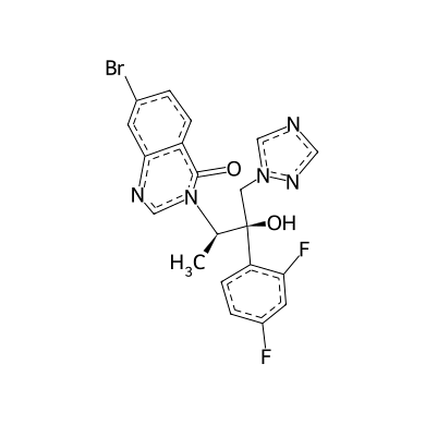 C[C@@H](n1cnc2cc(Br)ccc2c1=O)[C@](O)(Cn1cncn1)c1ccc(F)cc1F